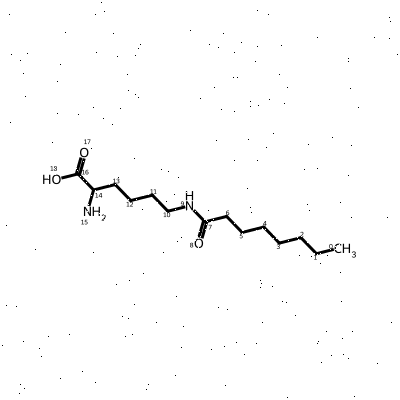 CCCCCCCC(=O)NCCCCC(N)C(=O)O